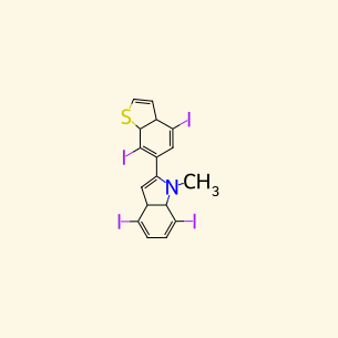 CN1C(C2=C(I)C3SC=CC3C(I)=C2)=CC2C(I)=CC=C(I)C21